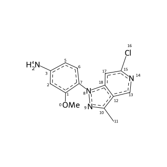 COc1cc(N)ccc1-n1nc(C)c2cnc(Cl)cc21